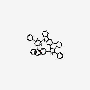 c1ccc(-c2ccc(-c3nc(-c4ccccc4)c4c5ccccc5c5cc6c7ccccc7n(-c7nc(-c8ccccc8)nc(-c8ccccc8)n7)c6cc5n34)cc2)cc1